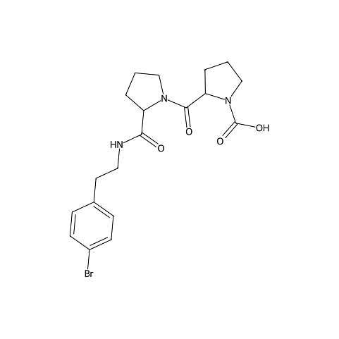 O=C(NCCc1ccc(Br)cc1)C1CCCN1C(=O)C1CCCN1C(=O)O